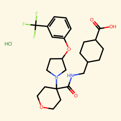 Cl.O=C(O)C1CCC(CNC(=O)C2(N3CCC(Oc4cccc(C(F)(F)F)c4)C3)CCOCC2)CC1